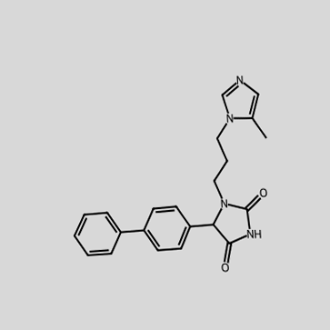 Cc1cncn1CCCN1C(=O)NC(=O)C1c1ccc(-c2ccccc2)cc1